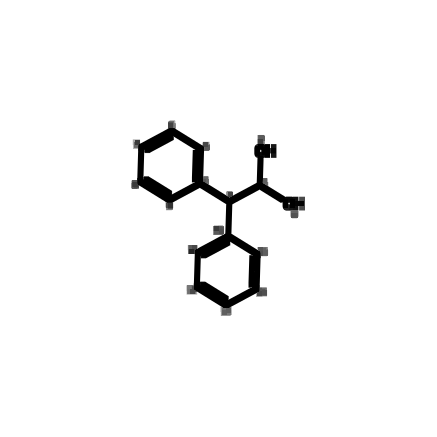 OC(O)C(c1ccccc1)c1ccccc1